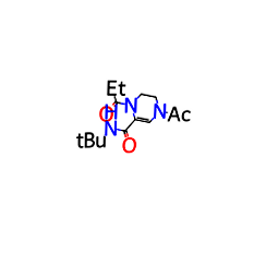 CCC(=O)N1CCN(C(C)=O)C=C1C(=O)NC(C)(C)C